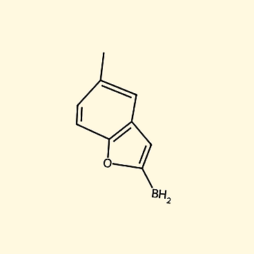 Bc1cc2cc(C)ccc2o1